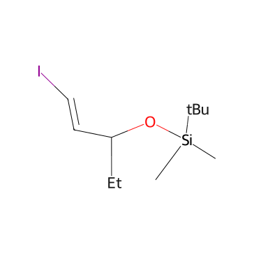 CCC(/C=C/I)O[Si](C)(C)C(C)(C)C